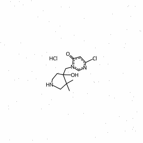 CC1(C)CNCCC1(O)Cn1cnc(Cl)cc1=O.Cl